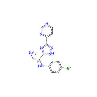 NC[C@@H](Nc1ccc(Br)cc1)c1nc(-c2ccncn2)n[nH]1